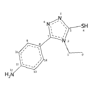 CCn1c(S)nnc1-c1ccc(N)cc1